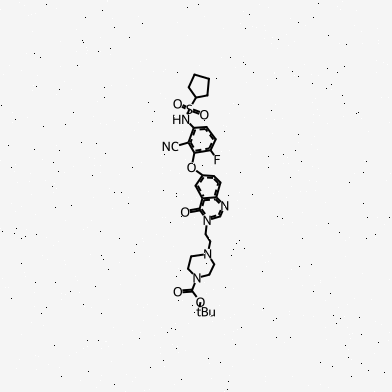 CC(C)(C)OC(=O)N1CCN(CCn2cnc3ccc(Oc4c(F)ccc(NS(=O)(=O)C5CCCC5)c4C#N)cc3c2=O)CC1